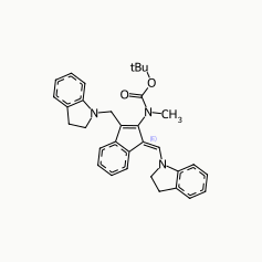 CN(C(=O)OC(C)(C)C)C1=C(CN2CCc3ccccc32)c2ccccc2/C1=C\N1CCc2ccccc21